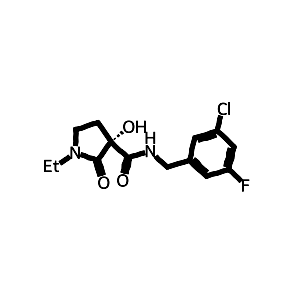 CCN1CC[C@@](O)(C(=O)NCc2cc(F)cc(Cl)c2)C1=O